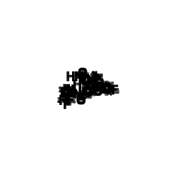 N=S1(=O)CCC2(CC1)c1cc(C(=O)NCc3ncccc3C(F)(F)F)ccc1N(S(=O)(=O)c1ccc(F)cc1)C2C1CC1